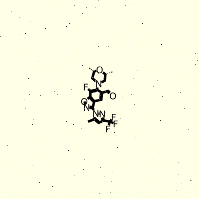 Cc1cc(C(F)(F)F)nn1-c1noc2c(F)c(N3C[C@@H](C)O[C@@H](C)C3)c(C=O)cc12